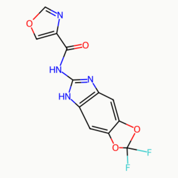 O=C(Nc1nc2cc3c(cc2[nH]1)OC(F)(F)O3)c1cocn1